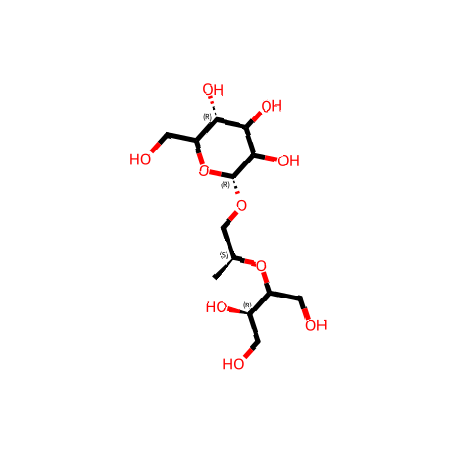 C[C@@H](CO[C@@H]1OC(CO)[C@H](O)C(O)C1O)OC(CO)[C@H](O)CO